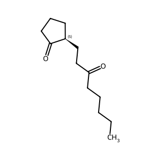 CCCCCC(=O)CC[C@@H]1CCCC1=O